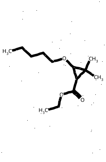 CCCCCOC1C(C(=O)OCC)C1(C)C